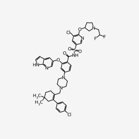 CC1(C)CCC(CN2CCN(c3ccc(C(=O)NS(=O)(=O)c4cnc(OC5CCN(CC(F)F)C5)c(Cl)c4)c(Oc4cnc5[nH]ccc5c4)c3)CC2)=C(c2ccc(Cl)cc2)C1